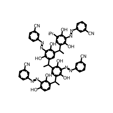 CC(C)c1cc(C(C)c2cc(C(C)c3cc(C(C)c4ccc(O)c(N=Nc5cccc(C#N)c5)c4O)c(O)c(N=Nc4cccc(C#N)c4)c3O)c(O)c(N=Nc3cccc(C#N)c3)c2O)c(O)c(N=Nc2cccc(C#N)c2)c1O